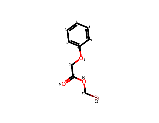 O=C(COc1ccccc1)OCBr